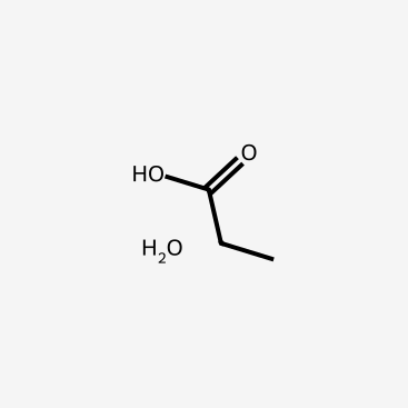 CCC(=O)O.O